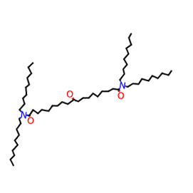 CCCCCCCCCCN(CCCCCCCCCC)C(=O)CCCCCCCCC(=O)CCCCCCCCC(=O)N(CCCCCCCCCC)CCCCCCCCCC